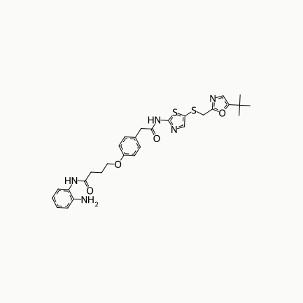 CC(C)(C)c1cnc(CSc2cnc(NC(=O)Cc3ccc(OCCCC(=O)Nc4ccccc4N)cc3)s2)o1